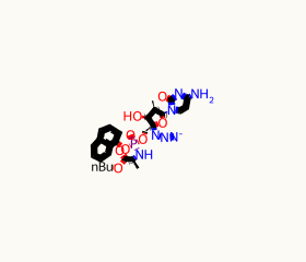 CCCCOC(=O)[C@H](C)NP(=O)(OC[C@@]1(N=[N+]=[N-])O[C@@H](n2ccc(N)nc2=O)[C@@H](C)[C@@H]1O)Oc1cccc2ccccc12